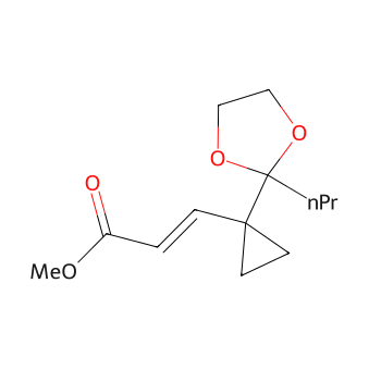 CCCC1(C2(/C=C/C(=O)OC)CC2)OCCO1